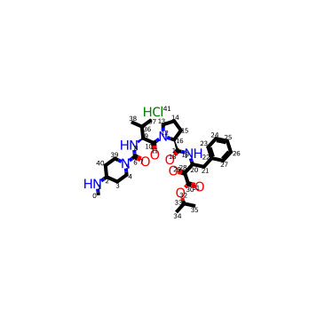 CNC1CCN(C(=O)N[C@H](C(=O)N2CCC[C@H]2C(=O)NC(Cc2ccccc2)C(=O)C(=O)OC(C)C)C(C)C)CC1.Cl